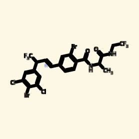 CC(NC(=O)c1ccc(/C=C/C(c2cc(Cl)c(Br)c(Cl)c2)C(F)(F)F)cc1Br)C(=O)NCC(F)(F)F